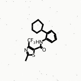 Cc1nc(C(F)(F)F)c(C(=O)Nc2ccccc2C2CCCCC2)s1